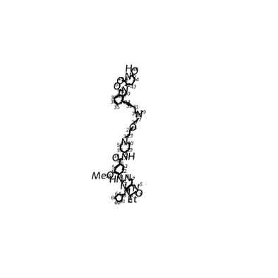 CC[C@@H]1C(=O)N(C)c2cnc(Nc3ccc(C(=O)NC4CCN(CCCOCCN(C)CCC#Cc5cccc6c5CN(C5CCC(=O)NC5=O)C6=O)CC4)cc3OC)nc2N1C1CCCC1